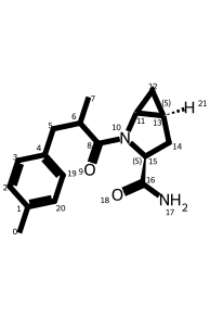 Cc1ccc(CC(C)C(=O)N2C3C[C@H]3C[C@H]2C(N)=O)cc1